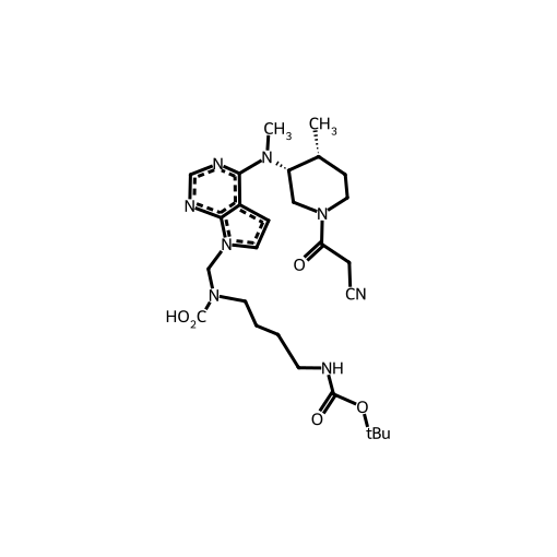 C[C@@H]1CCN(C(=O)CC#N)C[C@@H]1N(C)c1ncnc2c1ccn2CN(CCCCNC(=O)OC(C)(C)C)C(=O)O